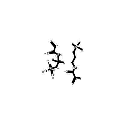 C=C(C)C(=O)NCCC[N+](C)(C)C.C=CC(=O)NC(C)(C)CS(=O)(=O)[O-]